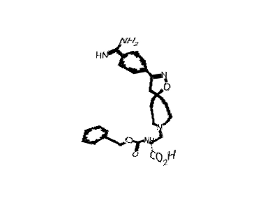 N=C(N)c1ccc(C2=NOC3(CCN(C[C@@H](NC(=O)OCc4ccccc4)C(=O)O)CC3)C2)cc1